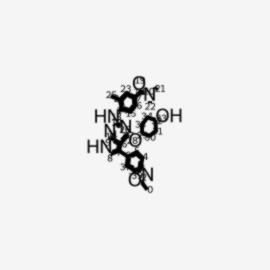 Cc1nc2ccc(-c3c[nH]c4nc(Nc5ccc(C(=O)N(C)C)cc5C)nc(OC5CCC(O)CC5)c34)cc2o1